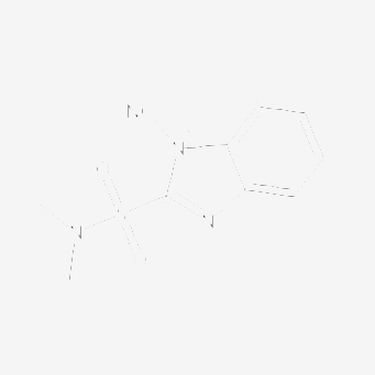 CN(C)S(=O)(=O)c1nc2ccccc2n1C#N